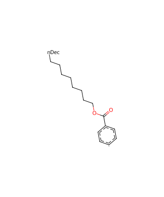 CCCCCCCCCCCCCCCCCCOC(=O)c1cc[c]cc1